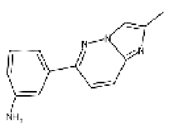 Cc1cn2nc(-c3cccc(N)c3)ccc2n1